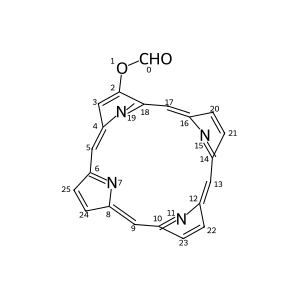 O=COC1=CC2=CC3=NC(=CC4=NC(=CC5=NC(=CC1=N2)C=C5)C=C4)C=C3